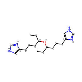 CCC(CCCc1c[nH]cn1)OC(CC)CCCc1c[nH]cn1